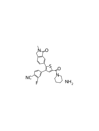 CN1Cc2ccc(-c3sc(C(=O)N4CCC[C@@H](N)C4)cc3-c3ccc(C#N)c(F)c3)cc2C1=O